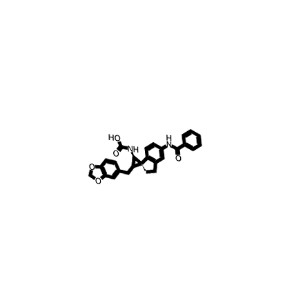 O=C(O)N[C@@H]1C(Cc2ccc3c(c2)OCO3)[C@@]12CCc1cc(NC(=O)c3ccccc3)ccc12